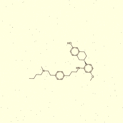 CCCCN(C)CCc1ccc(CCCNc2cc(OC)ccc2[C@@H]2CCc3cc(O)ccc3C2)cc1